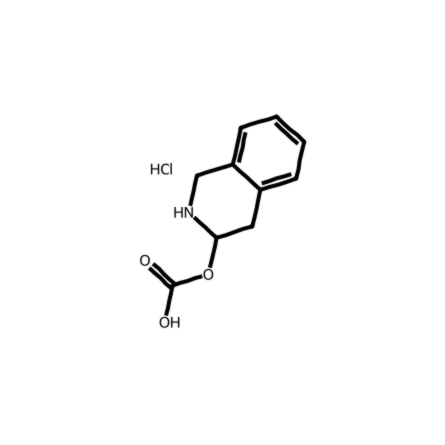 Cl.O=C(O)OC1Cc2ccccc2CN1